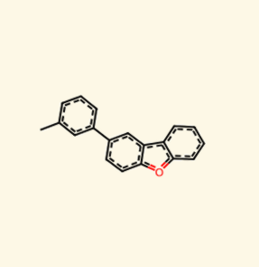 Cc1cccc(-c2ccc3oc4ccccc4c3c2)c1